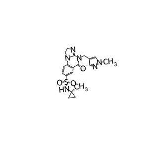 Cn1cc(CN2C(=O)c3cc(S(=O)(=O)NC4(C)CC4)ccc3N3CCN=C23)cn1